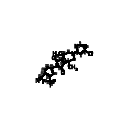 CC12CN(c3cc(Cl)ncn3)CC(C)(O1)C1C(=O)N(c3ccc(C#N)c(C(F)(F)F)c3)C(=O)C12